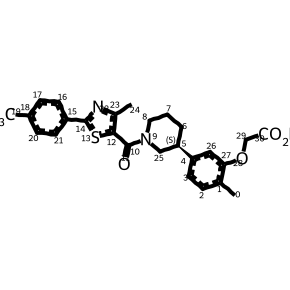 Cc1ccc([C@@H]2CCCN(C(=O)c3sc(-c4ccc(C(F)(F)F)cc4)nc3C)C2)cc1OCC(=O)O